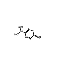 N=C1C=CC(B(O)O)=CC1